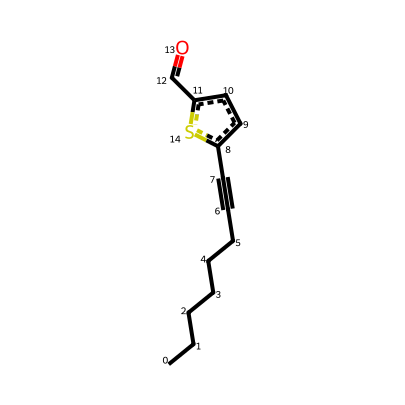 CCCCCCC#Cc1ccc(C=O)s1